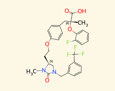 CN1C(=O)N(Cc2cccc(C(F)(F)F)c2)C[C@@H]1CCOc1ccc(C[C@@](C)(Oc2ccccc2F)C(=O)O)cc1